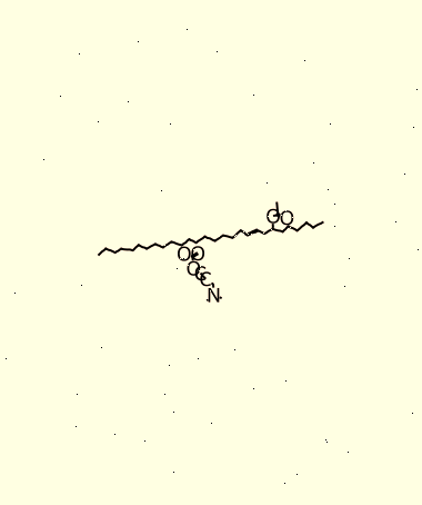 CCCCCCCCCCC(CCCCCCCC=CCC(CCCCCC)OC(C)=O)OC(=O)OCCCN(C)C